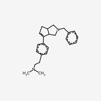 CN(C)CCc1ccc(C2=CCC3CN(Cc4ccccc4)CC23)cc1